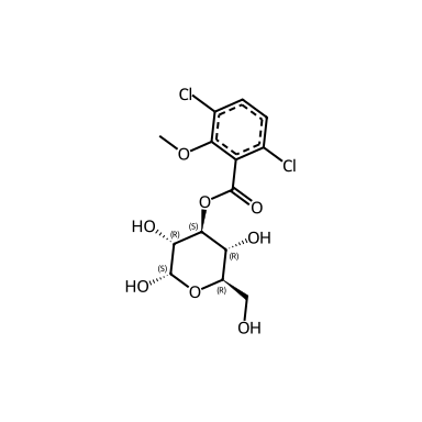 COc1c(Cl)ccc(Cl)c1C(=O)O[C@@H]1[C@@H](O)[C@@H](O)O[C@H](CO)[C@H]1O